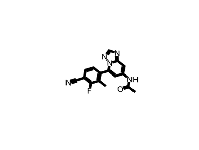 CC(=O)Nc1cc(-c2ccc(C#N)c(F)c2C)n2ncnc2c1